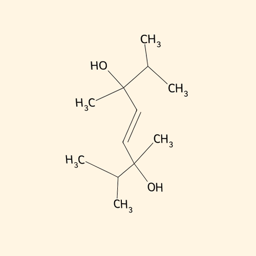 CC(C)C(C)(O)C=CC(C)(O)C(C)C